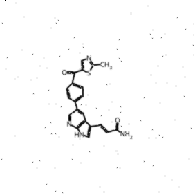 Cc1ncc(C(=O)c2ccc(-c3cnc4[nH]cc(/C=C/C(N)=O)c4c3)cc2)s1